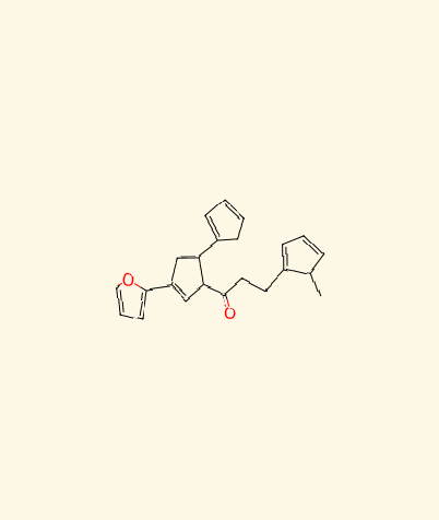 CC1C=CC=C1CCC(=O)C1C=C(c2ccco2)CC1C1=CC=CC1